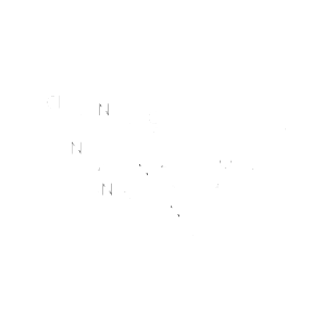 C=CCOc1cccnc1Cn1cnc2nc(Cl)nc(Cl)c21